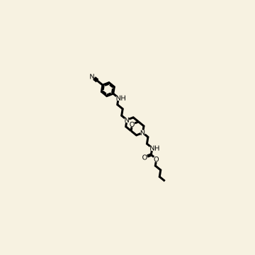 CCCCOC(=O)NCCN1CC2CN(CCCNc3ccc(C#N)cc3)CC(C1)O2